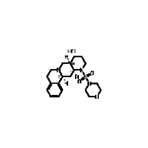 Cl.O=S(=O)(N1CCOCC1)N1CCC[C@@H]2CN3CCc4ccccc4[C@@H]3C[C@@H]21